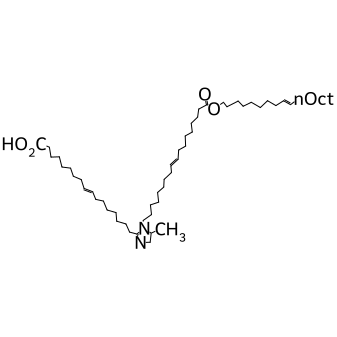 CCCCCCCCC=CCCCCCCCCOC(=O)CCCCCCCC=CCCCCCCCCN1C(CCCCCCCC=CCCCCCCCC(=O)O)=NCC1C